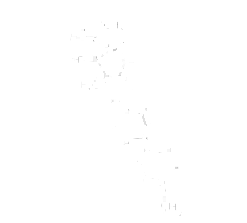 C=CC1CCC(C2C=CC(CCc3ccc(C(C)O)c(F)c3C(F)(F)F)CC2)CC1